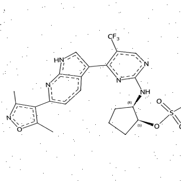 Cc1noc(C)c1-c1ccc2c(-c3nc(N[C@@H]4CCC[C@@H]4OS(C)(=O)=O)ncc3C(F)(F)F)c[nH]c2n1